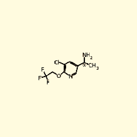 C[C@H](N)c1cnc(OCC(F)(F)F)c(Cl)c1